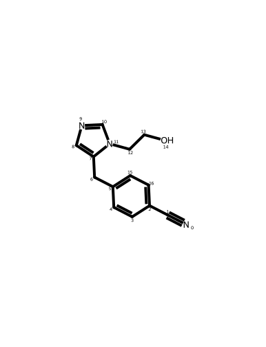 N#Cc1ccc(Cc2cncn2CCO)cc1